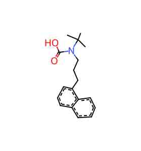 CC(C)(C)N(CCCc1cccc2ccccc12)C(=O)O